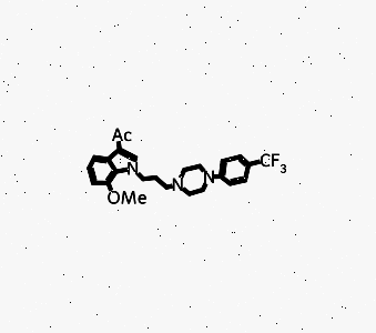 COc1cccc2c(C(C)=O)cn(CCCN3CCN(c4ccc(C(F)(F)F)cc4)CC3)c12